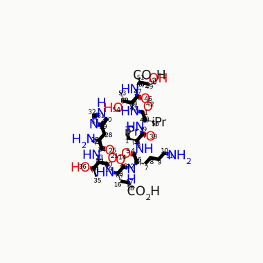 CC(C)C[C@H](NC(=O)[C@H](CCCCN)NC(=O)[C@H](CCC(=O)O)NC(=O)[C@@H](NC(=O)[C@@H](N)Cc1c[nH]cn1)[C@@H](C)O)C(=O)N[C@H](C(=O)N[C@H](C(=O)N[C@@H](CO)C(=O)O)[C@@H](C)O)C(C)C